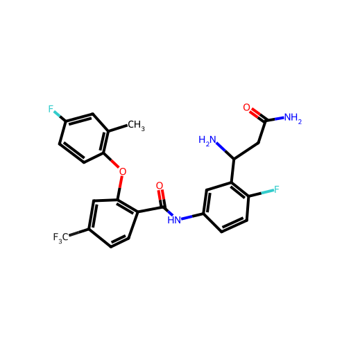 Cc1cc(F)ccc1Oc1cc(C(F)(F)F)ccc1C(=O)Nc1ccc(F)c(C(N)CC(N)=O)c1